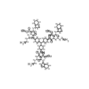 CC(C)(C)OC(=O)N(C(=O)Cc1csc2ccccc12)[C@@H](CCCCN)C(=O)Nc1ccc(C(c2ccc(NC(=O)[C@H](CCCCN)N(C(=O)Cc3csc4ccccc34)C(=O)OC(C)(C)C)cc2)c2ccc(NC(=O)[C@H](CCCCN)N(C(=O)Cc3csc4ccccc34)C(=O)OC(C)(C)C)cc2)cc1